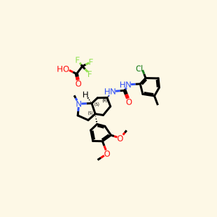 COc1ccc([C@@]23CC[C@@H](NC(=O)Nc4cc(C)ccc4Cl)C[C@@H]2N(C)CC3)cc1OC.O=C(O)C(F)(F)F